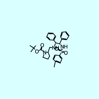 Cc1ccc(S(=O)(=O)N[C@@H](c2ccccc2)[C@@H](NCC2CCCN2C(=O)OC(C)(C)C)c2ccccc2)cc1